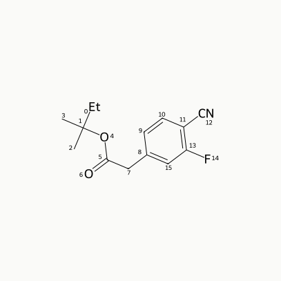 CCC(C)(C)OC(=O)Cc1ccc(C#N)c(F)c1